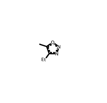 CCc1nnoc1C